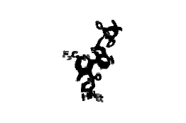 CCNC1CCN(C(=O)c2c(C)cc(C(F)(F)F)nc2-c2ccnc3cc(CN4C(=O)C5C(C4=O)C5(C)C)sc23)C1